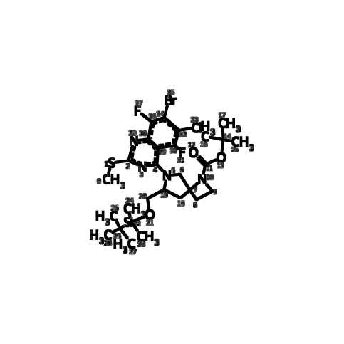 CSc1nc(N2CC3(CCN3C(=O)OC(C)(C)C)CC2CO[Si](C)(C)C(C)(C)C)c2c(F)c(Cl)c(Br)c(F)c2n1